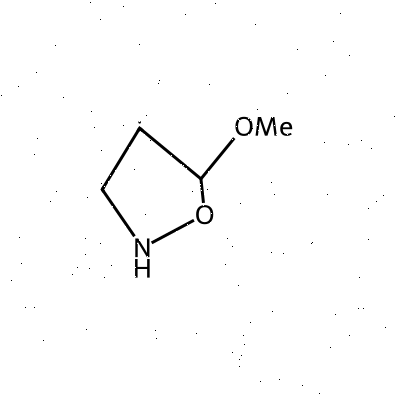 COC1[CH]CNO1